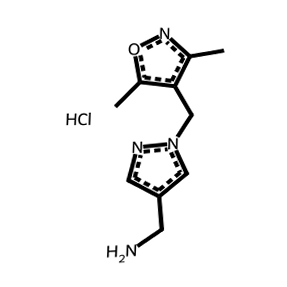 Cc1noc(C)c1Cn1cc(CN)cn1.Cl